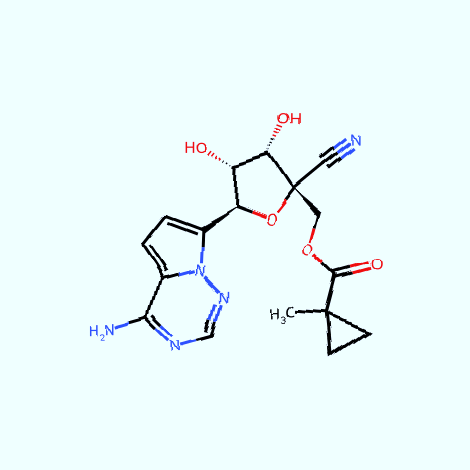 CC1(C(=O)OC[C@@]2(C#N)O[C@@H](c3ccc4c(N)ncnn34)[C@H](O)[C@@H]2O)CC1